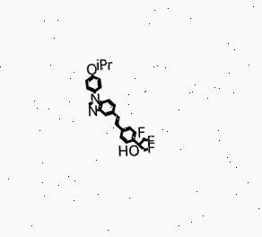 CC(C)Oc1ccc(-n2cnc3cc(C=Cc4ccc(C(O)(CF)C(F)F)cc4)ccc32)cc1